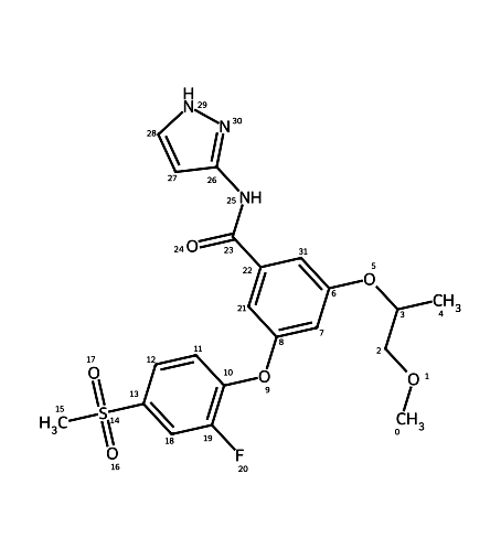 COCC(C)Oc1cc(Oc2ccc(S(C)(=O)=O)cc2F)cc(C(=O)Nc2cc[nH]n2)c1